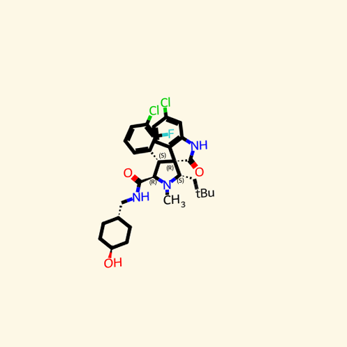 CN1[C@@H](CC(C)(C)C)[C@@]2(C(=O)Nc3cc(Cl)ccc32)[C@@H](c2cccc(Cl)c2F)[C@@H]1C(=O)NC[C@H]1CC[C@H](O)CC1